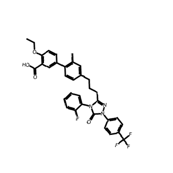 CCOc1ccc(-c2ccc(CCCc3nn(-c4ccc(C(F)(F)F)cc4)c(=O)n3-c3ccccc3F)cc2C)cc1C(=O)O